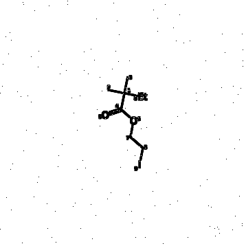 CCC(C)(C)C(=O)OCCI